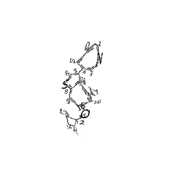 c1cncc(-c2csc3cc(OC4CCC4)ccc23)c1